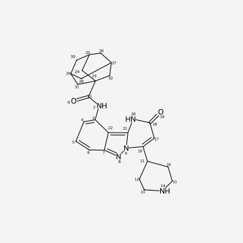 O=C(Nc1cccc2nn3c(C4CCNCC4)cc(=O)[nH]c3c12)C12CC3CC(CC(C3)C1)C2